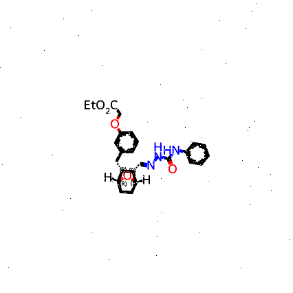 CCOC(=O)COc1cccc(C[C@@H]2[C@H](C=NNC(=O)Nc3ccccc3)[C@@H]3CC[C@H]2O3)c1